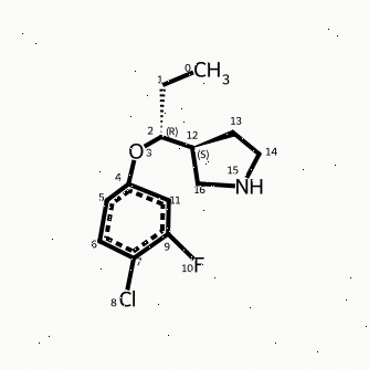 CC[C@@H](Oc1ccc(Cl)c(F)c1)[C@H]1CCNC1